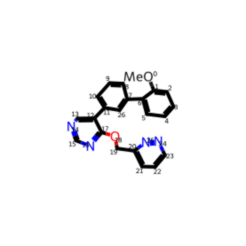 COc1ccccc1-c1cccc(-c2cncnc2OCc2cccnn2)c1